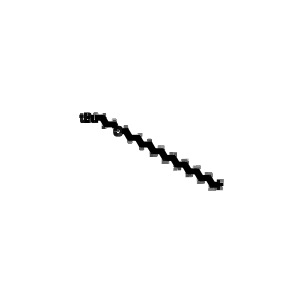 CC(C)(C)CCCOCCCCCCCCCCCCCCCCF